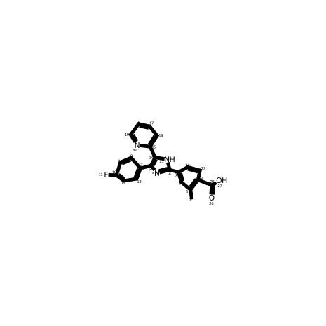 Cc1cc(-c2nc(-c3ccc(F)cc3)c(-c3ccccn3)[nH]2)ccc1C(=O)O